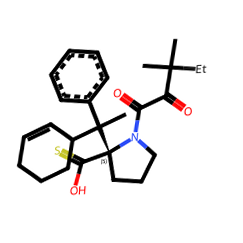 CCC(C)(C)C(=O)C(=O)N1CCC[C@@]1(C(O)=S)C(C)(c1ccccc1)C1C=CCCC1